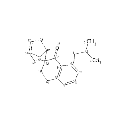 CC(C)Cc1cccc2c1C(=O)C1(CC2)CC2=CCC1C2